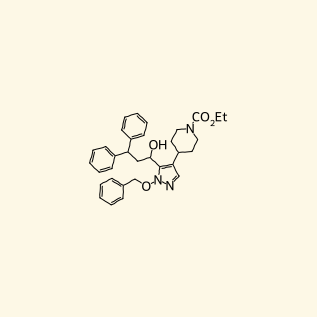 CCOC(=O)N1CCC(c2cnn(OCc3ccccc3)c2C(O)CC(c2ccccc2)c2ccccc2)CC1